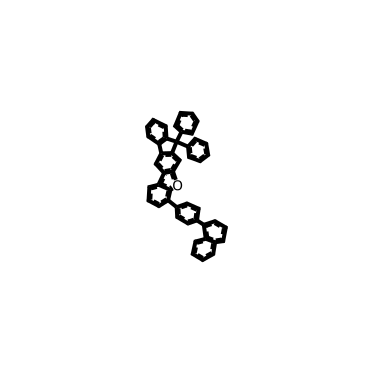 c1ccc(C2(c3ccccc3)c3ccccc3-c3cc4c(cc32)oc2c(-c3ccc(-c5cccc6ccccc56)cc3)cccc24)cc1